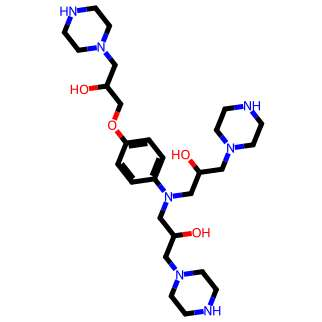 OC(COc1ccc(N(CC(O)CN2CCNCC2)CC(O)CN2CCNCC2)cc1)CN1CCNCC1